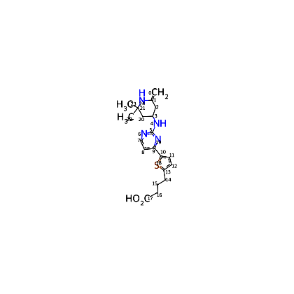 C=C1CC(Nc2nccc(-c3ccc(CCCC(=O)O)s3)n2)CC(C)(C)N1